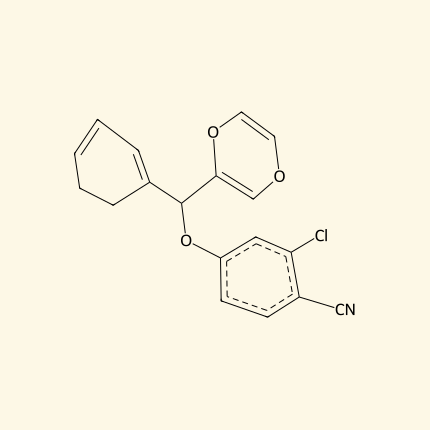 N#Cc1ccc(OC(C2=CC=CCC2)C2=COC=CO2)cc1Cl